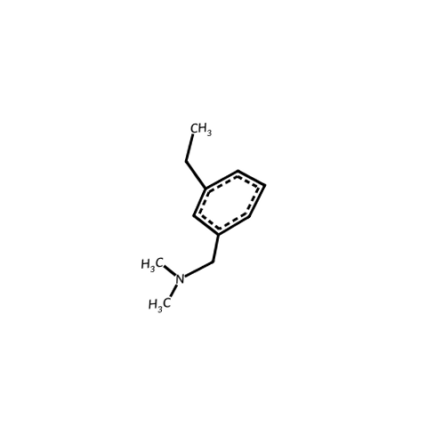 CCc1cccc(CN(C)C)c1